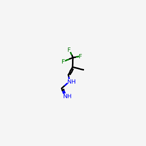 C/C(=C\NC=N)C(F)(F)F